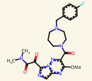 COc1nc2cnc(C(=O)C(=O)N(C)C)n2nc1C(=O)N1CCCN(Cc2ccc(F)cc2)CC1